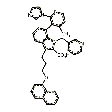 Cc1ccnc(-n2ccnc2)c1-c1cccc2c(CCCOc3cccc4ccccc34)c(C(=O)O)n(Cc3cccnc3)c12